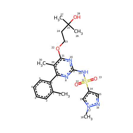 Cc1ccccc1-c1nc(NS(=O)(=O)c2cnn(C)c2)nc(OCCC(C)(C)O)c1C